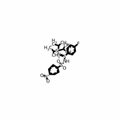 CC(C)[Si](N=S(NS(=O)(=O)c1ccc([N+](=O)[O-])cc1)c1ccc(F)cc1)(C(C)C)C(C)C